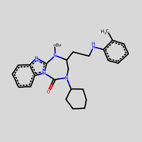 CCCCN1c2nc3ccccc3n2C(=O)N(C2CCCCC2)CC1CCNc1ccccc1C